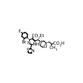 CCOC(=O)C1=C(CN2CCO[C@H](CC(C)C(=O)O)C2)NC(c2nccs2)=N[C@H]1c1ccc(F)cc1Br